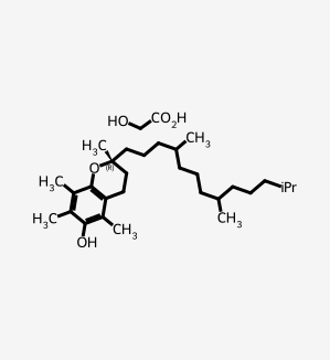 Cc1c(C)c2c(c(C)c1O)CC[C@@](C)(CCCC(C)CCCC(C)CCCC(C)C)O2.O=C(O)CO